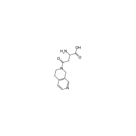 NC(CC(=O)N1CCc2ccncc2C1)C(=O)O